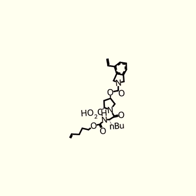 C=CCCCOC(=O)N[C@@H](CCCC)C(=O)N1C[C@H](OC(=O)N2Cc3cccc(C=C)c3C2)C[C@H]1C(=O)O